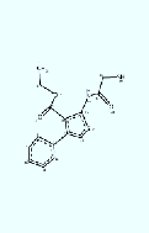 CCOC(=O)c1c(-c2ccccc2)csc1NC(=O)CS